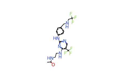 CC(=O)NCCNc1nc(Nc2ccc(CNCC(F)(F)F)cc2)ncc1C(F)(F)F